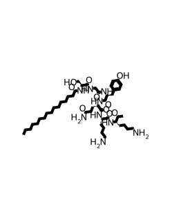 CCCCCCCCCCCCCCCC(=O)N[C@@H](CO)C(=O)NCC(=O)N[C@@H](Cc1ccc(O)cc1)C(=O)N[C@@H](CCC(N)=O)C(=O)N[C@@H](CCCCN)C(=O)N[C@@H](CCCCN)C(C)=O